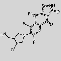 CCn1c2s[nH]c(=O)c2c(=O)c2cc(F)c(N3CC(Cl)C(CN)C3)c(F)c21